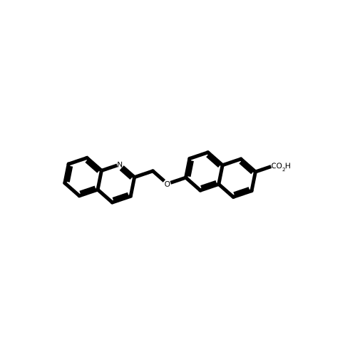 O=C(O)c1ccc2cc(OCc3ccc4ccccc4n3)ccc2c1